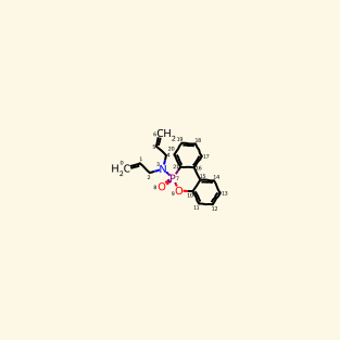 C=CCN(CC=C)P1(=O)Oc2ccccc2-c2ccccc21